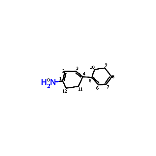 NC1=CC=C(C2=CC=CCC2)CC1